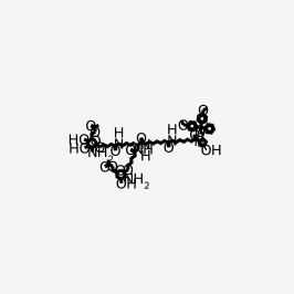 COc1ccc(C(OC[C@@H]2C[C@@H](O)CN2C(=O)CCCCCNC(=O)CCCCCNC(=O)[C@H](CCCCNC(=O)CCCOC2OC(COC(C)=O)C(O)C(O)C2N)NC(=O)CCCCOC2OC(COC(C)=O)CC(O)[C@@H]2N)(c2ccccc2)c2ccc(OC)cc2)cc1